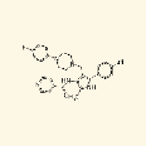 Cc1[nH]c(-c2ccc(Cl)cc2)c(CN2CCN(c3ccc(F)cc3)CC2)c1NC(=O)c1ccncc1